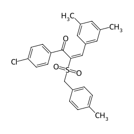 Cc1ccc(CS(=O)(=O)C(=Cc2cc(C)cc(C)c2)C(=O)c2ccc(Cl)cc2)cc1